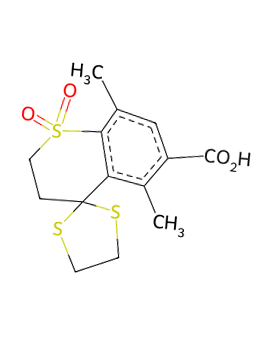 Cc1cc(C(=O)O)c(C)c2c1S(=O)(=O)CCC21SCCS1